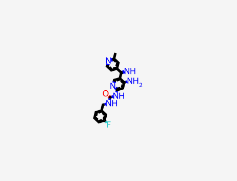 Cc1cc(C(=N)c2cnc(NC(=O)NCc3cccc(F)c3)cc2N)ccn1